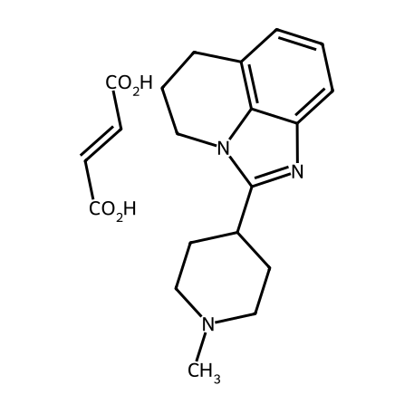 CN1CCC(c2nc3cccc4c3n2CCC4)CC1.O=C(O)C=CC(=O)O